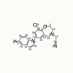 N#CCN1CCOc2c(Cl)cc(-n3ccc4cc(F)ccc43)cc2C1